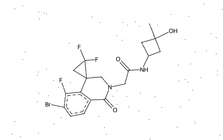 CC1(O)CC(NC(=O)CN2CC3(CC3(F)F)c3c(ccc(Br)c3F)C2=O)C1